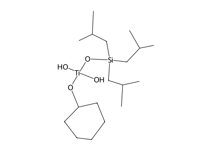 CC(C)C[Si](CC(C)C)(CC(C)C)[O][Ti]([OH])([OH])[O]C1CCCCC1